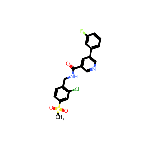 CS(=O)(=O)c1ccc(CNC(=O)c2cncc(-c3cccc(F)c3)c2)c(Cl)c1